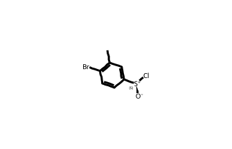 Cc1cc([S@+]([O-])Cl)ccc1Br